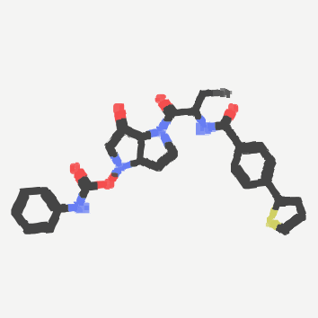 CC(C)CC(NC(=O)c1ccc(-c2cccs2)cc1)C(=O)N1CCC2C1C(=O)CN2OC(=O)Nc1ccccc1